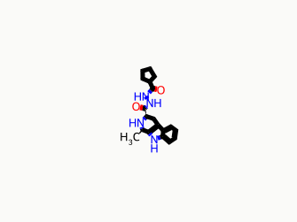 C[C@@H]1N[C@H](C(=O)NNC(=O)C2CCCC2)Cc2c1[nH]c1ccccc21